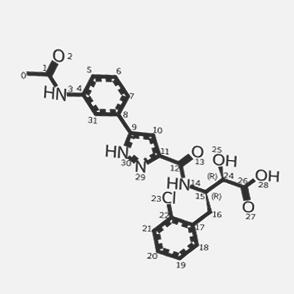 CC(=O)Nc1cccc(-c2cc(C(=O)N[C@H](Cc3ccccc3Cl)[C@@H](O)C(=O)O)n[nH]2)c1